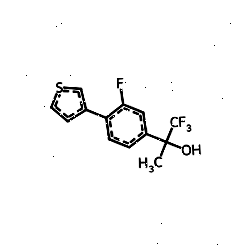 CC(O)(c1ccc(-c2ccsc2)c(F)c1)C(F)(F)F